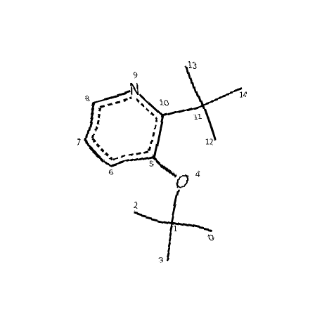 CC(C)(C)Oc1cccnc1C(C)(C)C